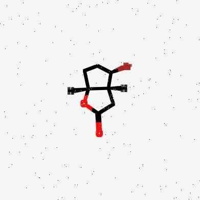 O=C1C[C@H]2[C@H](Br)CC[C@H]2O1